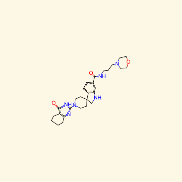 O=C(NCCCN1CCOCC1)c1ccc2c(c1)NCC21CCN(c2nc3c(c(=O)[nH]2)CCCC3)CC1